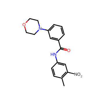 Cc1ccc(NC(=O)c2cccc(N3CCOCC3)c2)cc1[N+](=O)[O-]